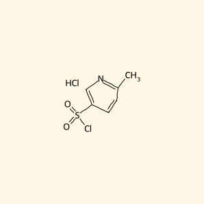 Cc1ccc(S(=O)(=O)Cl)cn1.Cl